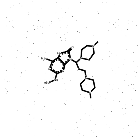 CCCCNc1nc(N)c2[nH]c(=O)n(C(CCN3CCN(C)CC3)N3CCN(C)CC3)c2n1